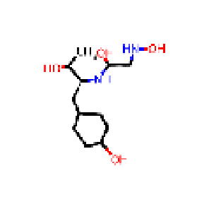 CC(O)[C@H](CC1CCC(O)CC1)NC(O)CNO